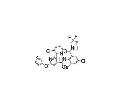 O=C(NCC(F)(F)F)c1cc(Cl)cc(Br)c1NC(=O)c1cc(Oc2ccsc2)nn1-c1ncccc1Cl